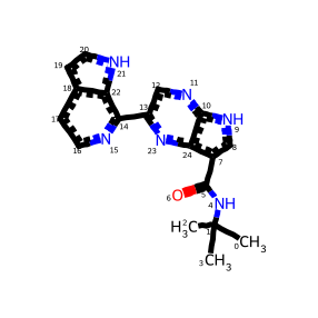 CC(C)(C)NC(=O)c1c[nH]c2ncc(-c3nccc4cc[nH]c34)nc12